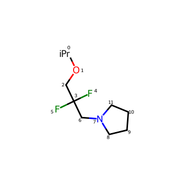 CC(C)OCC(F)(F)CN1CCCC1